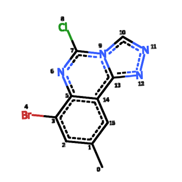 Cc1cc(Br)c2nc(Cl)n3cnnc3c2c1